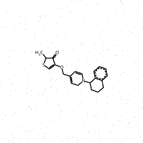 CC1SC=C(OCC2=CCN(C3CCCc4ccccc43)C=C2)C1=O